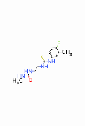 CNC(=O)NCCNC(=S)Nc1ccc(F)c(C)c1